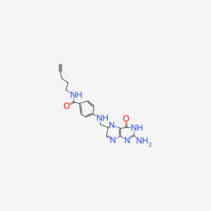 C#CCCCNC(=O)c1ccc(NCc2cnc3nc(N)[nH]c(=O)c3n2)cc1